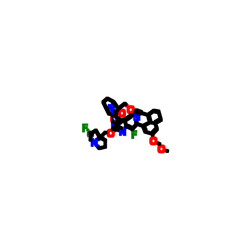 C#Cc1cccc2cc(OCOC)cc(-c3nc4c5c(nc(OC[C@@]67CCCN6C[C@H](F)C7)nc5c3F)N3CC5CCC(C3CO4)N5C(=O)OC(C)(C)C)c12